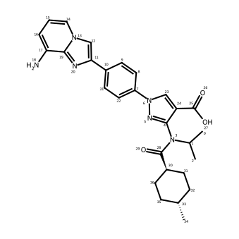 CC(C)N(c1nn(-c2ccc(-c3cn4cccc(N)c4n3)cc2)cc1C(=O)O)C(=O)[C@H]1CC[C@H](C)CC1